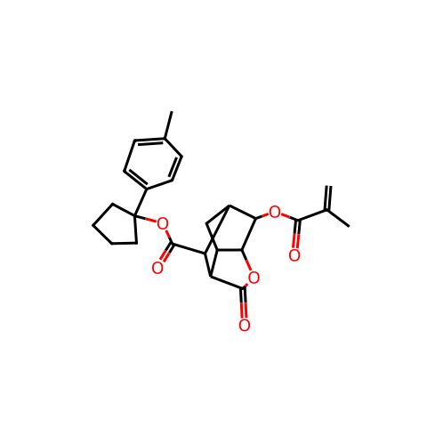 C=C(C)C(=O)OC1C2CC3C1OC(=O)C3C2C(=O)OC1(c2ccc(C)cc2)CCCC1